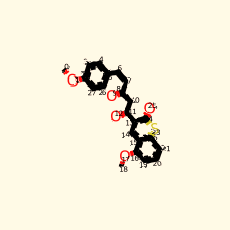 COc1ccc(/C=C\C(=O)CC(=O)c2cc3c(OC)cccc3sc2=O)cc1